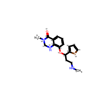 CNCCC(Oc1cccc2c1NCN(C)C2=O)c1cccs1